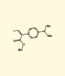 CC=C(C(=O)OC(C)(C)C)c1ccc(N(CCCC)CCCC)cc1